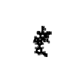 CN1C(=N)N[C@](C)(c2cc(-c3cccc(C#N)c3)cs2)[C@H](C2CCC2)C1=O